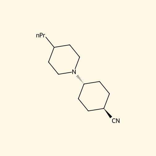 CCCC1CCN([C@H]2CC[C@H](C#N)CC2)CC1